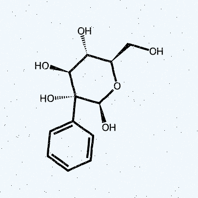 OC[C@H]1O[C@@H](O)[C@@](O)(c2ccccc2)[C@@H](O)[C@@H]1O